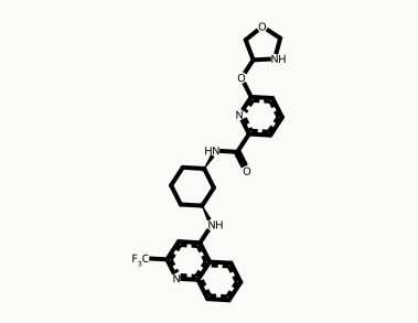 O=C(N[C@@H]1CCC[C@H](Nc2cc(C(F)(F)F)nc3ccccc23)C1)c1cccc(OC2COCN2)n1